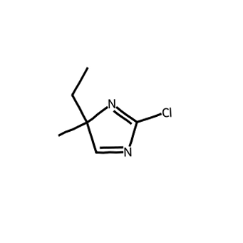 CCC1(C)C=NC(Cl)=N1